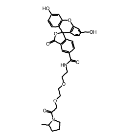 CC1CCCN1C(=O)COCCOCCNC(=O)c1ccc2c(c1)C(=O)OC21c2ccc(O)cc2Oc2cc(O)ccc21